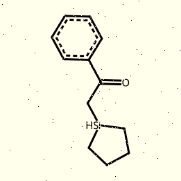 O=C(C[SiH]1CCCC1)c1ccccc1